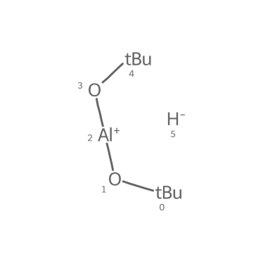 CC(C)(C)[O][Al+][O]C(C)(C)C.[H-]